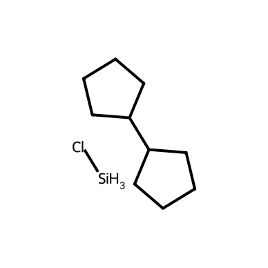 C1CCC(C2CCCC2)C1.[SiH3]Cl